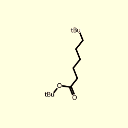 CC(C)(C)CCCCCC(=O)OC(C)(C)C